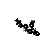 CC1(O)CCC(Nc2cc(Nc3ccnc(-c4cnn(S(=O)(=O)C5CC5)c4)n3)ncc2-c2cn3c(n2)CCC3)CC1